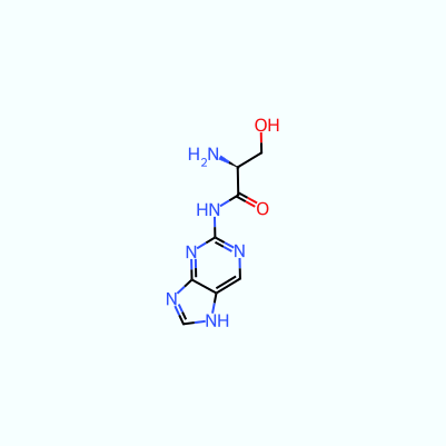 N[C@@H](CO)C(=O)Nc1ncc2[nH]cnc2n1